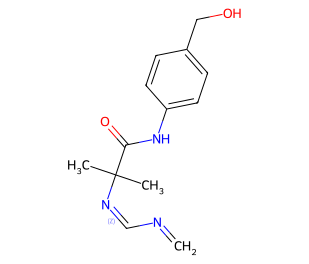 C=N/C=N\C(C)(C)C(=O)Nc1ccc(CO)cc1